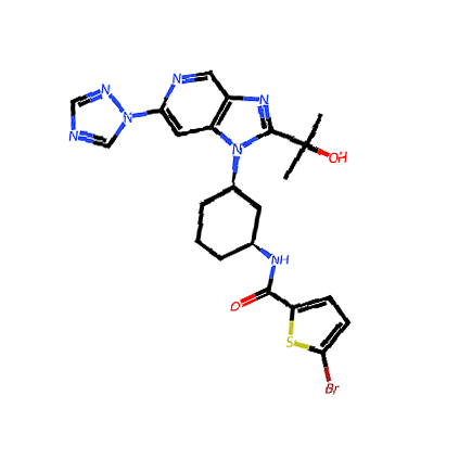 CC(C)(O)c1nc2cnc(-n3cncn3)cc2n1[C@@H]1CCC[C@H](NC(=O)c2ccc(Br)s2)C1